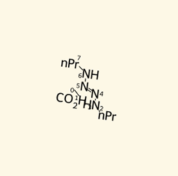 CC(=O)O.CCCNN=NNCCC